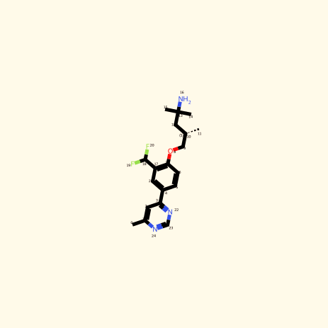 Cc1cc(-c2ccc(OC[C@@H](C)CC(C)(C)N)c(C(F)F)c2)ncn1